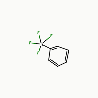 [F][Ti]([F])([F])([F])[c]1ccccc1